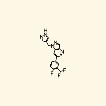 Fc1ccc(-c2cnc3cnn(Cc4cn[nH]c4)c3c2)cc1C(F)F